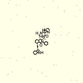 CC(NC(=O)c1c(N)nn2cccnc12)c1cc2cccc(C#Cc3c[nH]c4ccccc34)c2c(=O)n1-c1ccccc1